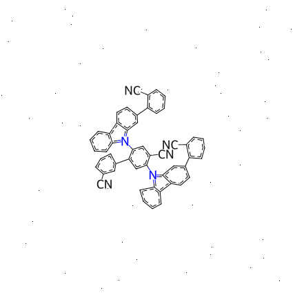 N#Cc1cccc(-c2cc(-n3c4ccccc4c4ccc(-c5ccccc5C#N)cc43)c(C#N)cc2-n2c3ccccc3c3ccc(-c4ccccc4C#N)cc32)c1